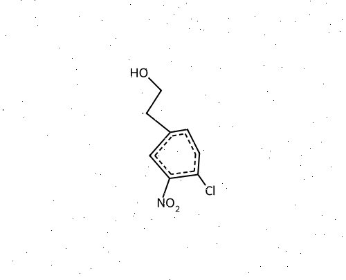 O=[N+]([O-])c1cc([CH]CO)ccc1Cl